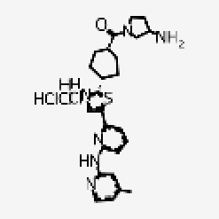 Cc1ccnc(Nc2cccc(-c3cnc([C@H]4CC[C@H](C(=O)N5CCC(N)C5)CC4)s3)n2)c1.Cl.Cl.Cl